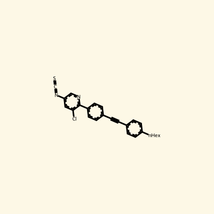 CCCCCCc1ccc(C#Cc2ccc(-c3ncc(N=C=S)cc3Cl)cc2)cc1